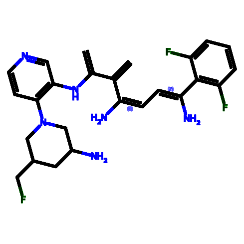 C=C(Nc1cnccc1N1CC(N)CC(CF)C1)C(=C)/C(N)=C\C=C(/N)c1c(F)cccc1F